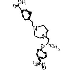 CC(CN1CCN(CCc2ccc(C(=O)O)cc2)CC1)Oc1ccc([N+](=O)[O-])cc1